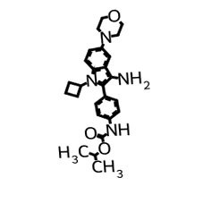 CC(C)OC(=O)Nc1ccc(-c2c(N)c3cc(N4CCOCC4)ccc3n2C2CCC2)cc1